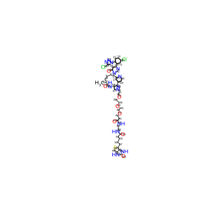 CC1CCC[C@H](n2cnc(-c3cc(Cl)ccc3-n3cc(Cl)nn3)cc2=O)c2cc(ccn2)-c2nn(CCOCCOCCOCCC(=O)NCCNC(=O)CCCC[C@@H]3SCC4NC(=O)NC43)cc2NC1=O